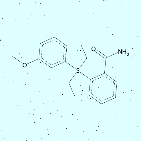 CCS(CC)(c1cccc(OC)c1)c1ccccc1C(N)=O